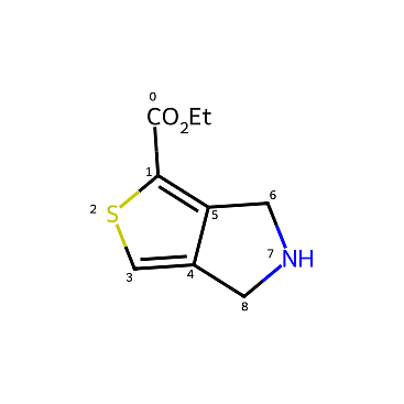 CCOC(=O)c1scc2c1CNC2